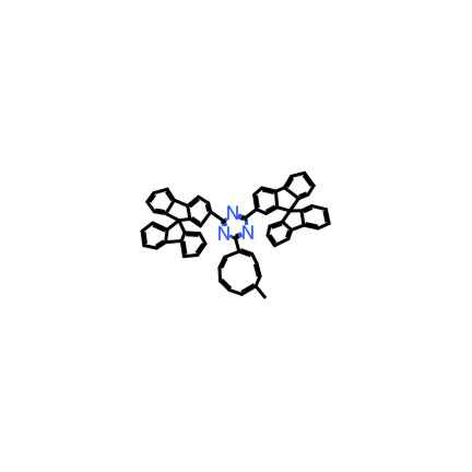 Cc1cccccc(-c2nc(-c3ccc4c(c3)C3(c5ccccc5-c5ccccc53)c3ccccc3-4)nc(-c3ccc4c(c3)C3(c5ccccc5-c5ccccc53)c3ccccc3-4)n2)ccc1